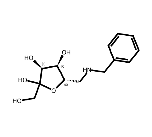 OCC1(O)O[C@@H](CNCc2ccccc2)[C@H](O)[C@@H]1O